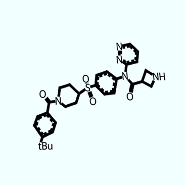 CC(C)(C)c1ccc(C(=O)N2CCC(S(=O)(=O)c3ccc(N(C(=O)C4CNC4)c4cccnn4)cc3)CC2)cc1